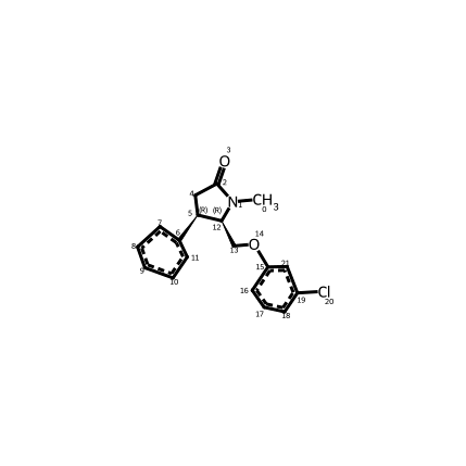 CN1C(=O)C[C@H](c2ccccc2)[C@@H]1COc1cccc(Cl)c1